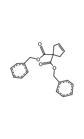 O=C(OCc1ccccc1)C1(C(=O)OCc2ccccc2)CC=CC1